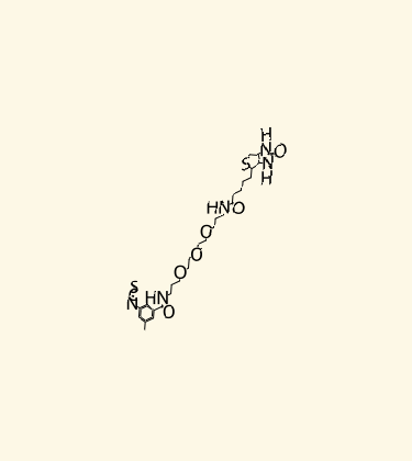 Cc1cc(N=C=S)cc(C(=O)NCCCOCCOCCOCCCNC(=O)CCCCC2SCC3NC(=O)NC32)c1